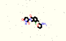 NC1CCCO[C@@H]1Cc1ccc2c(c1F)CN(C1CCC(=O)NC1=O)C2=O